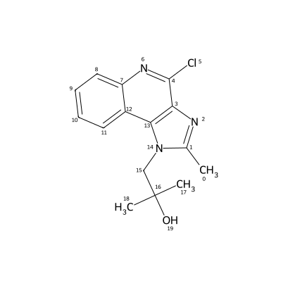 Cc1nc2c(Cl)nc3ccccc3c2n1CC(C)(C)O